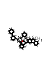 CC1(C)c2ccccc2-c2cc3c4ccccc4n(-c4ccccc4-c4nc(-c5ccccc5)nc(-c5cccc(-c6ccccc6)c5)n4)c3cc21